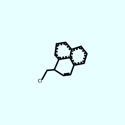 ClCC1C=Cc2cccc3cccc1c23